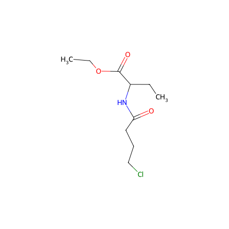 CCOC(=O)C(CC)NC(=O)CCCCl